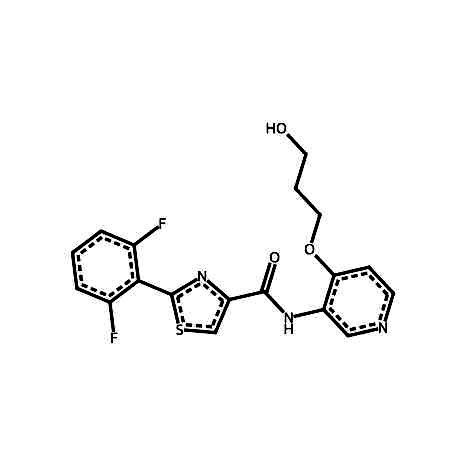 O=C(Nc1cnccc1OCCCO)c1csc(-c2c(F)cccc2F)n1